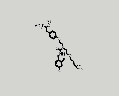 CCOC(Cc1ccc(OCCN(CCOCCCC(F)(F)F)C(=O)NCc2ccc(F)cc2F)cc1)C(=O)O